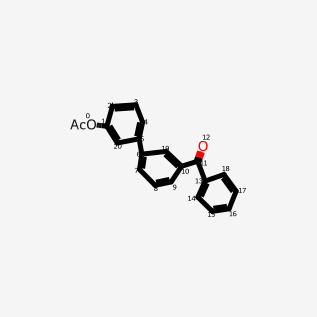 CC(=O)Oc1[c]ccc(-c2cccc(C(=O)c3ccccc3)c2)c1